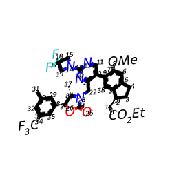 CCOC(=O)C[C@@H]1CCc2cc(OC)c(-c3cnc(N4CC(F)(F)C4)nc3CN3C(=O)O[C@H](c4cc(C)cc(C(F)(F)F)c4)[C@@H]3C)cc21